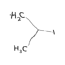 [CH2]C(C)I